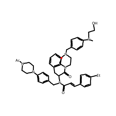 CCc1ccc(C=CC(=O)N(Cc2ccc(N3CCN(C(C)=O)CC3)cc2)C(Cc2ccccc2)C(=O)N2CCN(Cc3ccc(N(C)CCO)cc3)CC2)cc1